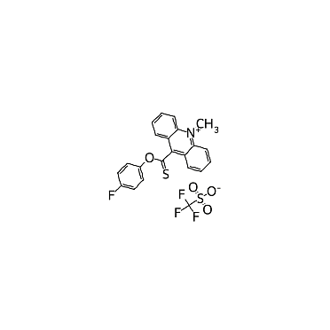 C[n+]1c2ccccc2c(C(=S)Oc2ccc(F)cc2)c2ccccc21.O=S(=O)([O-])C(F)(F)F